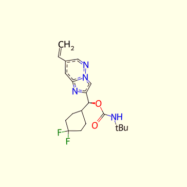 C=Cc1cnn2cc([C@@H](OC(=O)NC(C)(C)C)C3CCC(F)(F)CC3)nc2c1